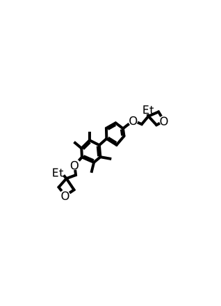 CCC1(COc2ccc(-c3c(C)c(C)c(OCC4(CC)COC4)c(C)c3C)cc2)COC1